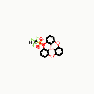 CS(=O)(=O)Oc1cccc2c1B1c3c(cccc3Oc3cccc(OS(=O)(=O)C(F)(F)F)c31)O2